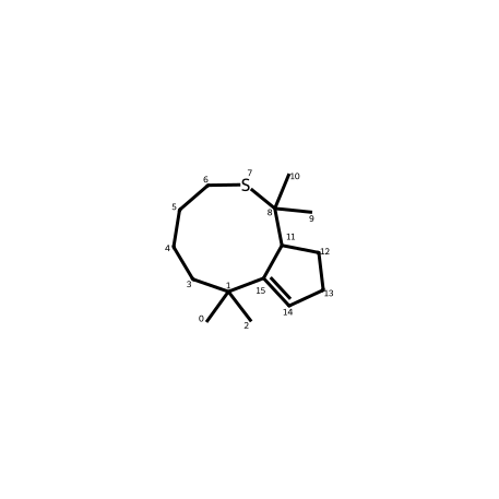 CC1(C)CCCCSC(C)(C)C2CCC=C21